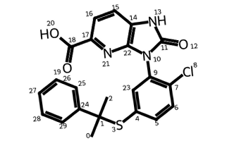 CC(C)(Sc1ccc(Cl)c(-n2c(=O)[nH]c3ccc(C(=O)O)nc32)c1)c1ccccc1